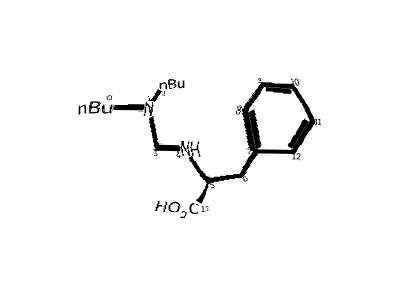 CCCCN(CCCC)CN[C@@H](Cc1ccccc1)C(=O)O